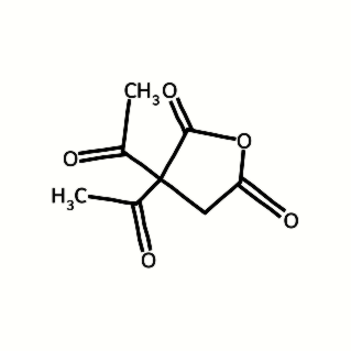 CC(=O)C1(C(C)=O)CC(=O)OC1=O